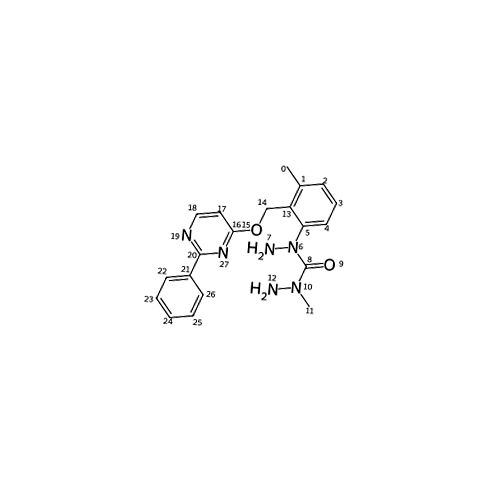 Cc1cccc(N(N)C(=O)N(C)N)c1COc1ccnc(-c2ccccc2)n1